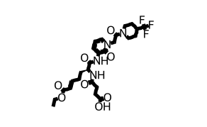 CCOC(=O)/C=C/CC[C@H](NC(=O)CCC(=O)O)C(=O)Nc1cccn(CC(=O)N2CCC(C(F)(F)F)CC2)c1=O